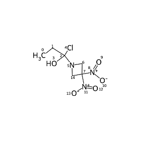 CCC(O)(Cl)N1CC([N+](=O)[O-])([N+](=O)[O-])C1